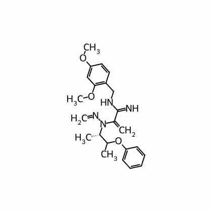 C=NN(C(=C)C(=N)NCc1ccc(OC)cc1OC)[C@@H](C)C(C)Oc1ccccc1